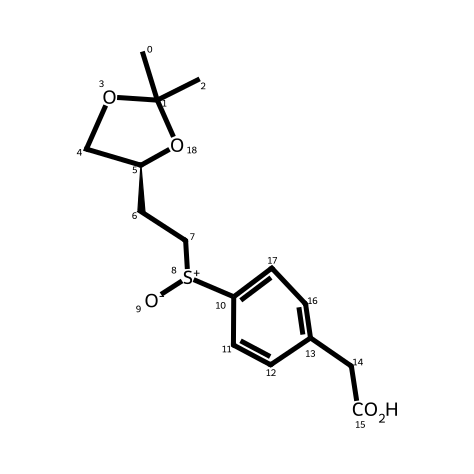 CC1(C)OC[C@H](CC[S+]([O-])c2ccc(CC(=O)O)cc2)O1